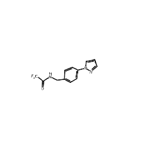 O=C(NCc1ccc(-n2cccn2)cc1)C(F)(F)F